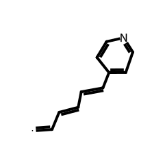 [CH]=CC=CC=Cc1ccncc1